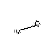 CCCCCCCCCC1CCCSS1